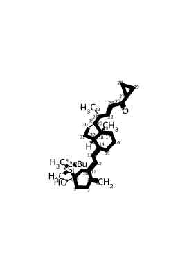 C=C1CC[C@@](O)([Si](C)(C)C(C)(C)C)CC1=CC=C1CCC[C@]2(C)[C@@H]([C@H](C)C=CC(=O)C3CC3)CC[C@@H]12